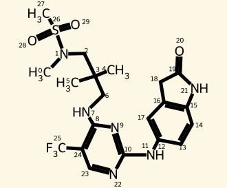 CN(CC(C)(C)CNc1nc(Nc2ccc3c(c2)CC(=O)N3)ncc1C(F)(F)F)S(C)(=O)=O